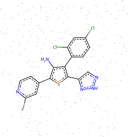 Nc1c(-c2ccnc(F)c2)sc(-c2cn[nH]n2)c1-c1ccc(Cl)cc1Cl